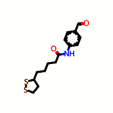 O=Cc1ccc(NC(=O)CCCCC2CCSS2)cc1